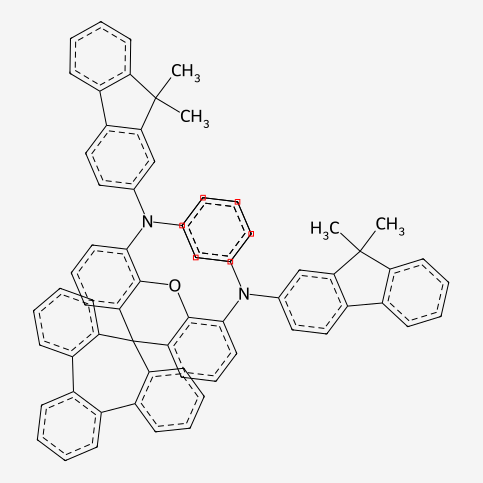 CC1(C)c2ccccc2-c2ccc(N(c3ccccc3)c3cccc4c3Oc3c(N(c5ccccc5)c5ccc6c(c5)C(C)(C)c5ccccc5-6)cccc3C43c4ccccc4-c4ccccc4-c4ccccc43)cc21